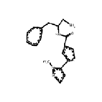 Cn1nccc1-c1cc(C(=O)NC(CN)Cc2ccccc2)cs1